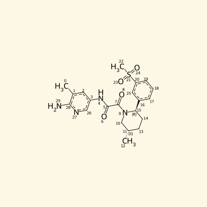 Cc1cc(NC(=O)C(=O)N2C[C@@H](C)CC[C@@H]2c2cccc(S(C)(=O)=O)c2)cnc1N